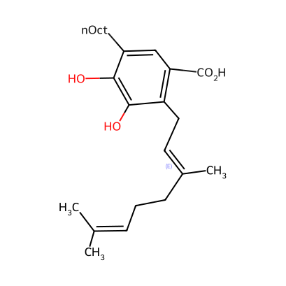 CCCCCCCCc1cc(C(=O)O)c(C/C=C(\C)CCC=C(C)C)c(O)c1O